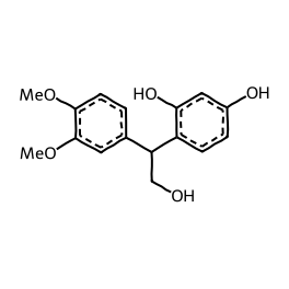 COc1ccc(C(CO)c2ccc(O)cc2O)cc1OC